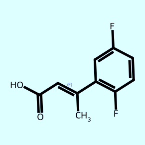 C/C(=C\C(=O)O)c1cc(F)ccc1F